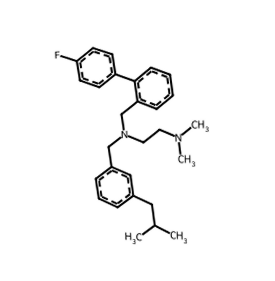 CC(C)Cc1cccc(CN(CCN(C)C)Cc2ccccc2-c2ccc(F)cc2)c1